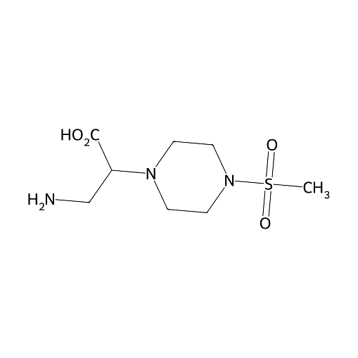 CS(=O)(=O)N1CCN(C(CN)C(=O)O)CC1